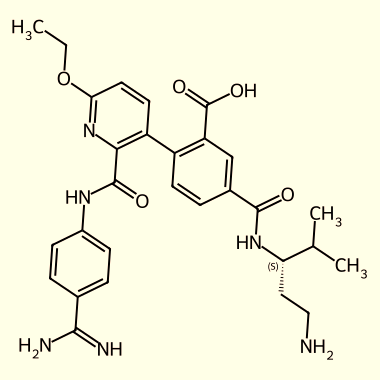 CCOc1ccc(-c2ccc(C(=O)N[C@@H](CCN)C(C)C)cc2C(=O)O)c(C(=O)Nc2ccc(C(=N)N)cc2)n1